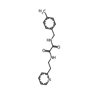 Cc1ccc(CNC(=O)C(=O)NCCc2ccccn2)cc1